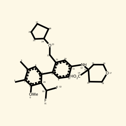 COc1c(C)c(C)cc(-c2ccc(NC3(C(=O)O)CCOCC3)cc2COC2CCCC2)c1C(F)F